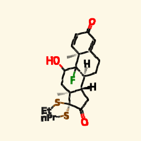 CCCS[C@@]1(SCC)C(=O)C[C@H]2[C@@H]3CCC4=CC(=O)C=C[C@]4(C)C3(F)C(O)C[C@@]21C